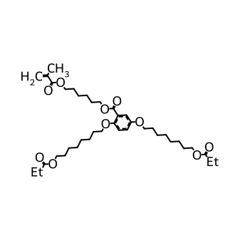 C=C(C)C(=O)OCCCCCCOC(=O)c1cc(OCCCCCCCCOC(=O)CC)ccc1OCCCCCCCCOC(=O)CC